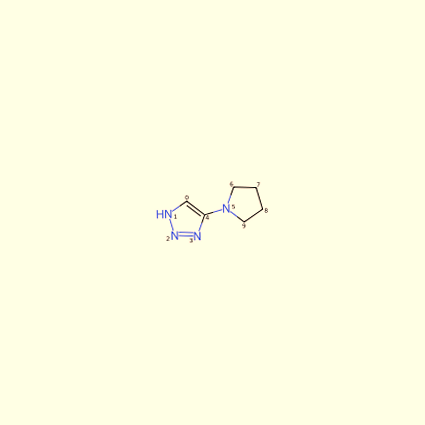 c1[nH]nnc1N1CCCC1